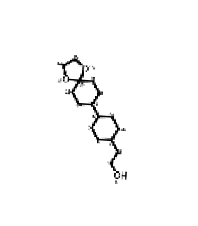 OCCC1CCC(C2CCC3(CC2)OCCO3)CC1